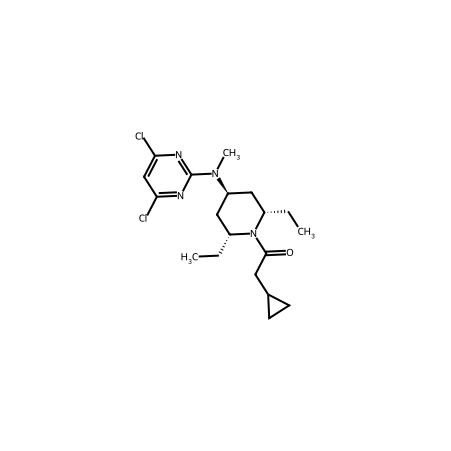 CC[C@@H]1C[C@@H](N(C)c2nc(Cl)cc(Cl)n2)C[C@H](CC)N1C(=O)CC1CC1